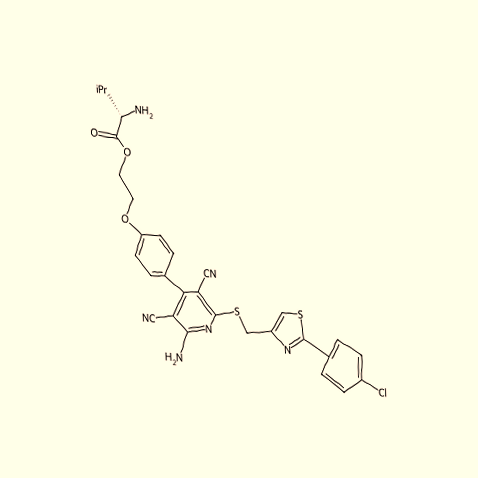 CC(C)[C@H](N)C(=O)OCCOc1ccc(-c2c(C#N)c(N)nc(SCc3csc(-c4ccc(Cl)cc4)n3)c2C#N)cc1